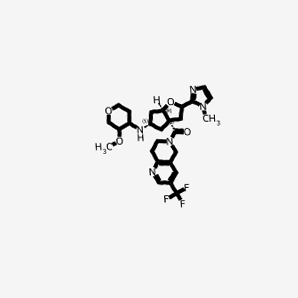 COC1COCCC1N[C@@H]1C[C@H]2OC(c3nccn3C)C[C@@]2(C(=O)N2CCc3ncc(C(F)(F)F)cc3C2)C1